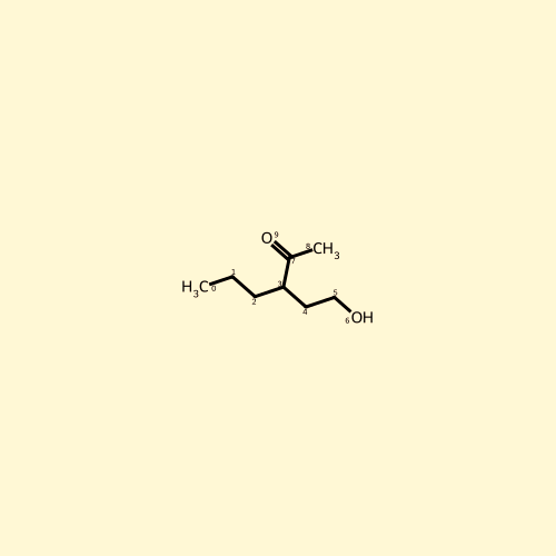 CCCC(CCO)C(C)=O